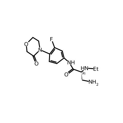 CCN[C@H](CN)C(=O)Nc1ccc(N2CCOCC2=O)c(F)c1